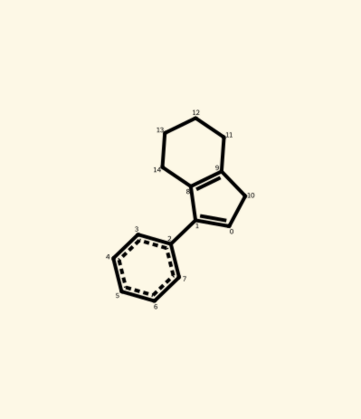 C1=C(c2ccccc2)C2=C(C1)CCCC2